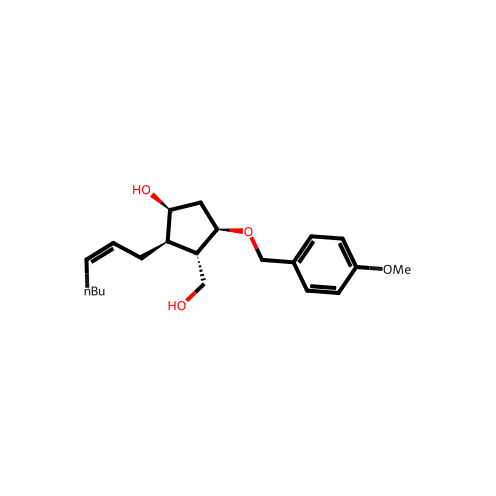 CCCC/C=C\C[C@@H]1[C@@H](CO)[C@H](OCc2ccc(OC)cc2)C[C@@H]1O